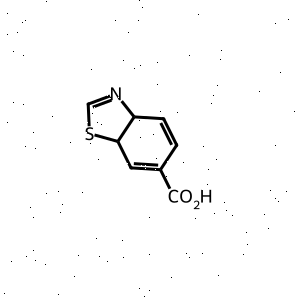 O=C(O)C1=CC2SC=NC2C=C1